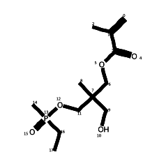 C=C(C)C(=O)OCC(C)(CO)COP(C)(=O)CC